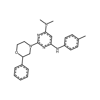 Cc1ccc(Nc2cc(N(C)C)nc(N3CCOC(c4ccccc4)C3)n2)cc1